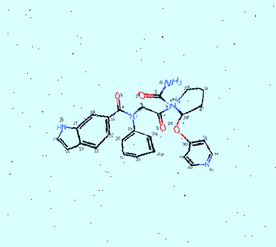 NC(=O)[N@@+]1(C(=O)CN(C(=O)c2ccc3cc[nH]c3c2)c2ccccc2)CCCC1Oc1ccncc1